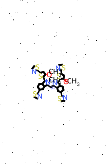 COc1cc(-c2nccs2)sc1C1=N/C(=C\c2c3cc(-c4nccs4)ccc3c(-c3sc(-c4nccs4)cc3OC)n2C)c2cc(-c3nccs3)ccc21